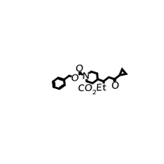 CCOC(=O)C(CC(=O)C1CC1)C1CCN(C(=O)OCc2ccccc2)CC1